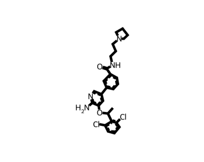 CC(Oc1cc(-c2cccc(C(=O)NCCCN3CCCC3)c2)cnc1N)c1c(Cl)cccc1Cl